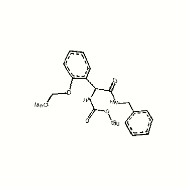 COCOc1ccccc1C(NC(=O)OC(C)(C)C)C(=O)NCc1ccccc1